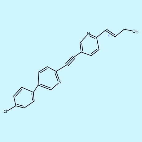 OC/C=C/c1ccc(C#Cc2ccc(-c3ccc(Cl)cc3)cn2)cn1